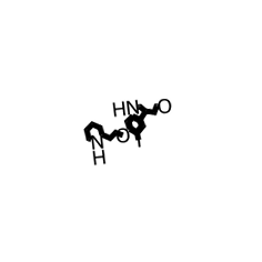 O=CCC1CNc2cc(OCCC3CCCCN3)c(I)cc21